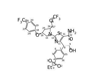 CCS(=O)(=O)c1ccc([C@@H](CO)c2nc(N3C[C@@H](Oc4ccc(C(F)(F)F)cc4)C[C@H]3COC(F)(F)F)sc2C(N)=O)cc1